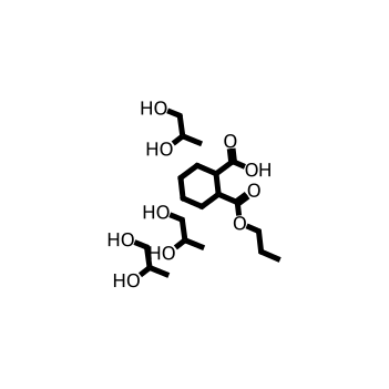 CC(O)CO.CC(O)CO.CC(O)CO.CCCOC(=O)C1CCCCC1C(=O)O